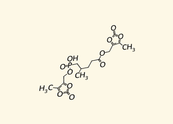 Cc1oc(=O)oc1COC(=O)CCC(C)CP(=O)(O)OCc1oc(=O)oc1C